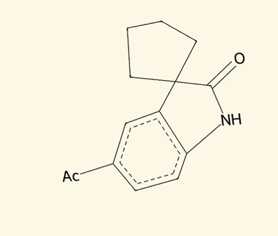 CC(=O)c1ccc2c(c1)C1(CCCC1)C(=O)N2